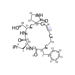 CC(C)C[C@@H]1NC(=O)C(Cc2ccccc2)CCC/C=C\CC2(CCNC2=O)CC(CO)NC1=O